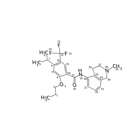 CCCOc1cc(C(C)C)c(C(F)(F)F)cc1C(=O)Nc1cccc2c1CCN(C)C2